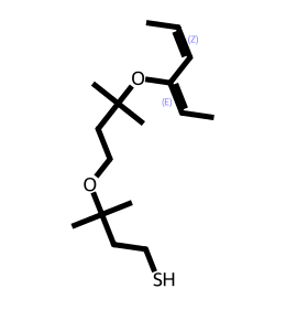 C/C=C\C(=C/C)OC(C)(C)CCOC(C)(C)CCS